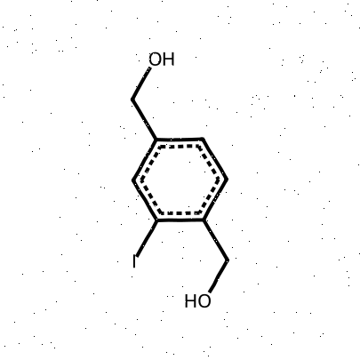 OCc1ccc(CO)c(I)c1